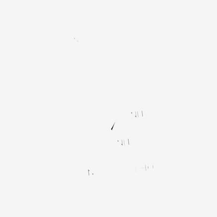 O=Cc1ccncc1NC[C@@H]1NCCc2cc(-c3ccsc3)ccc21